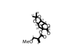 C=C(COC)C(=O)OC12CC(OC1=O)C1OC(C)(C)OC1C2